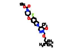 CC(C)(C)OC(=O)N1CCC(Oc2cc3c(cc2F)CN(c2cnn(COCC[Si](C)(C)C)c(=O)c2C(F)(F)F)C3)CC1